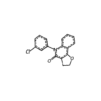 O=c1c2c(c3ccccc3n1-c1cccc(Cl)c1)OCC2